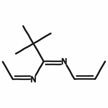 C\C=C/N=C(\N=C/C)C(C)(C)C